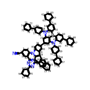 N#Cc1ccc(-n2c3ccc(-c4ccccc4)cc3c3cc(-c4cc5c6c(c4)N(c4ccc(-c7ccccc7)cc4)c4cc(-c7ccccc7)ccc4B6c4ccc(-c6ccccc6)cc4N5c4ccc(-c5ccccc5)cc4)ccc32)c(-c2nc(-c3ccccc3)nc(-c3ccccc3)n2)c1